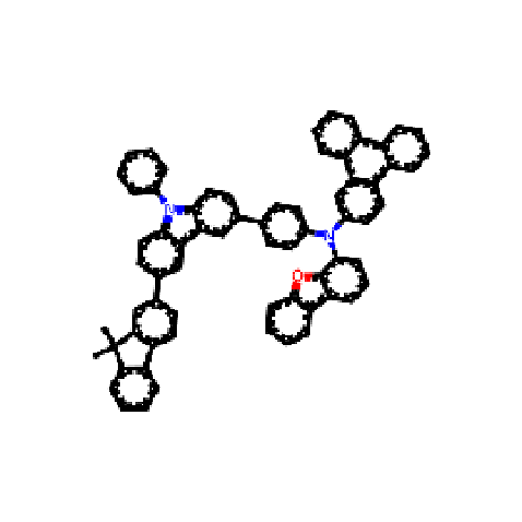 CC1(C)c2ccccc2-c2ccc(-c3ccc4c(c3)c3cc(-c5ccc(N(c6ccc7c8ccccc8c8ccccc8c7c6)c6cccc7c6oc6ccccc67)cc5)ccc3n4-c3ccccc3)cc21